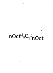 CCCCCCCC[CH]COCCCCCCCCCC